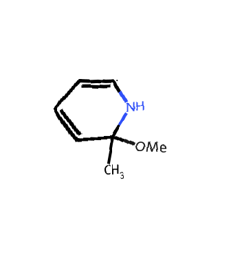 COC1(C)C=CC=[C]N1